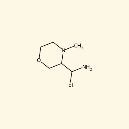 CCC(N)C1COCCN1C